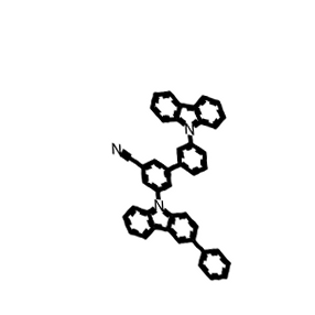 N#Cc1cc(-c2cccc(-n3c4ccccc4c4ccccc43)c2)cc(-n2c3ccccc3c3cc(-c4ccccc4)ccc32)c1